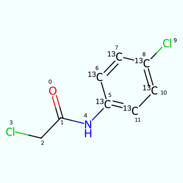 O=C(CCl)N[13c]1[13cH][13cH][13c](Cl)[13cH][13cH]1